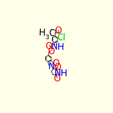 CC1(c2ccc(NC(=O)OCc3ccc4c(c3)C(=O)N(C3CCC(=O)NC3=O)C4)cc2Cl)COC1